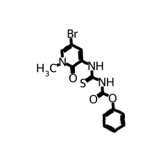 Cn1cc(Br)cc(NC(=S)NC(=O)Oc2ccccc2)c1=O